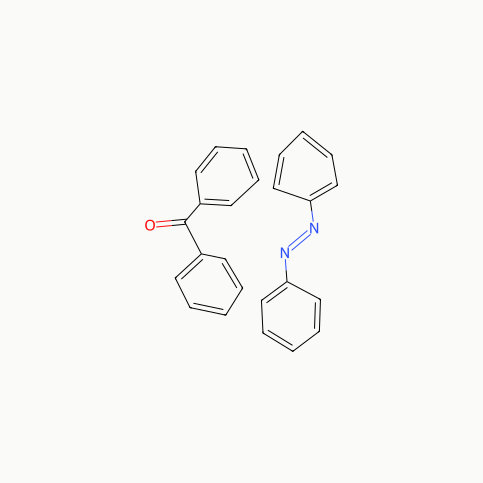 O=C(c1ccccc1)c1ccccc1.c1ccc(N=Nc2ccccc2)cc1